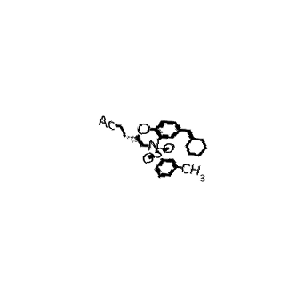 CC(=O)CC[C@H]1CN(S(=O)(=O)c2cccc(C)c2)c2cc(C=C3CCCCC3)ccc2O1